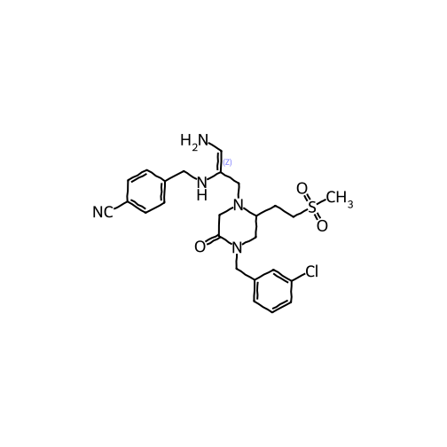 CS(=O)(=O)CCC1CN(Cc2cccc(Cl)c2)C(=O)CN1C/C(=C/N)NCc1ccc(C#N)cc1